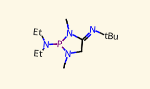 CCN(CC)P1N(C)CC(=NC(C)(C)C)N1C